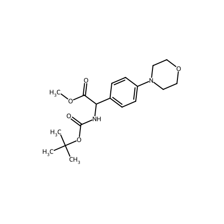 COC(=O)C(NC(=O)OC(C)(C)C)c1ccc(N2CCOCC2)cc1